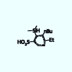 CCCCc1c(CC)ccc(S(=O)(=O)O)c1[SiH](C)C